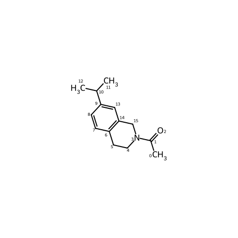 CC(=O)N1CCc2ccc(C(C)C)cc2C1